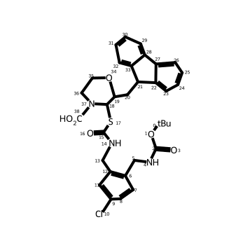 CC(C)(C)OC(=O)NCc1ccc(Cl)cc1CNC(=O)SC1C(CC2c3ccccc3-c3ccccc32)OCCN1C(=O)O